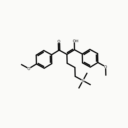 COc1ccc(C(=O)/C(CCC[Si](C)(C)C)=C(\O)c2ccc(OC)cc2)cc1